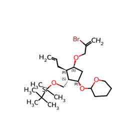 C=CC[C@@H]1[C@@H](CO[Si](C)(C)C(C)(C)C)[C@H](OC2CCCCO2)C[C@@H]1OCC(=C)Br